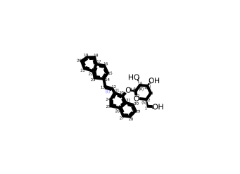 OC[C@@H]1C[C@H](O)[C@@H](O)[C@H](Oc2c(/C=C/c3ccc4ccccc4c3)ccc3ccccc23)O1